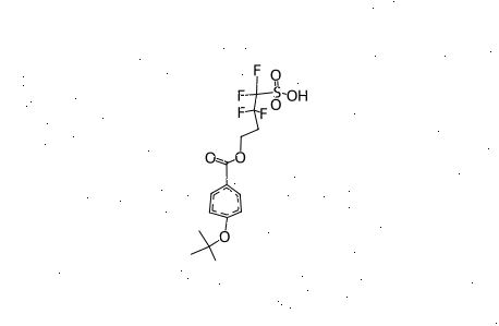 CC(C)(C)Oc1ccc(C(=O)OCCC(F)(F)C(F)(F)S(=O)(=O)O)cc1